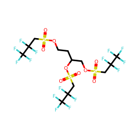 O=S(=O)(CC(F)(F)C(F)(F)F)OCCC(COS(=O)(=O)CC(F)(F)C(F)(F)F)OS(=O)(=O)CC(F)(F)C(F)(F)F